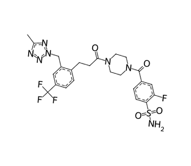 Cc1nnn(Cc2cc(C(F)(F)F)ccc2CCC(=O)N2CCN(C(=O)c3ccc(S(N)(=O)=O)c(F)c3)CC2)n1